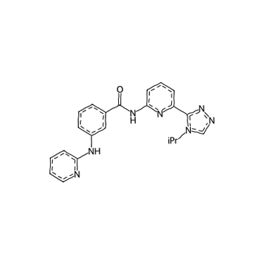 CC(C)n1cnnc1-c1cccc(NC(=O)c2cccc(Nc3ccccn3)c2)n1